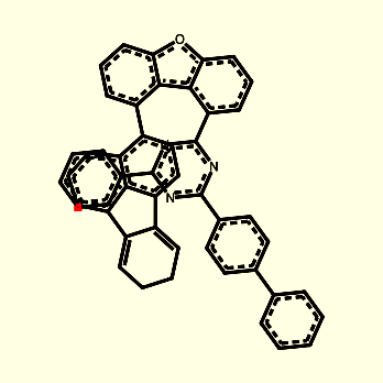 C1=C2C(=CCC1)c1ccc(-c3cccc4oc5cccc(-c6nc(-c7ccccc7)nc(-c7ccc(-c8ccccc8)cc7)n6)c5c34)c3cccc2c13